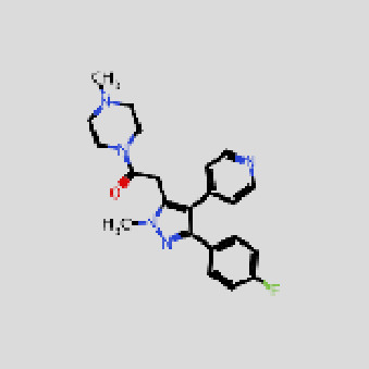 CN1CCN(C(=O)Cc2c(-c3ccncc3)c(-c3ccc(F)cc3)nn2C)CC1